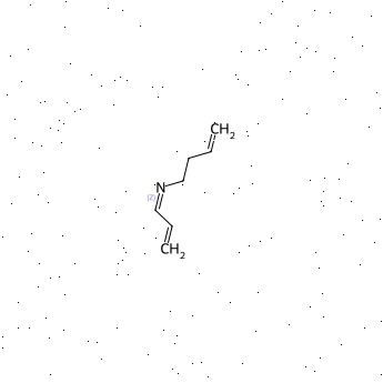 C=C/C=N\CCC=C